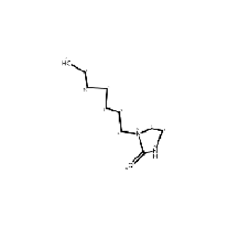 O=C1NCCN1CCCCCCO